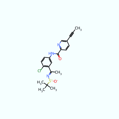 CC#Cc1ccc(C(=O)Nc2ccc(Cl)c(C(C)=N[S@+]([O-])C(C)(C)C)c2)nc1